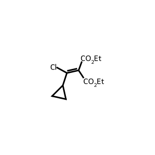 CCOC(=O)C(C(=O)OCC)=C(Cl)C1CC1